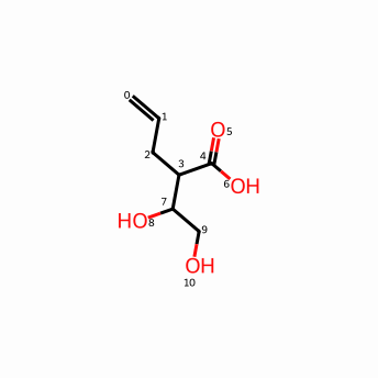 C=CCC(C(=O)O)C(O)CO